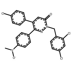 C[S+]([O-])c1ccc(-c2nn(Cc3ccc(Cl)cc3Cl)c(=O)cc2-c2ccc(Cl)cc2)cc1